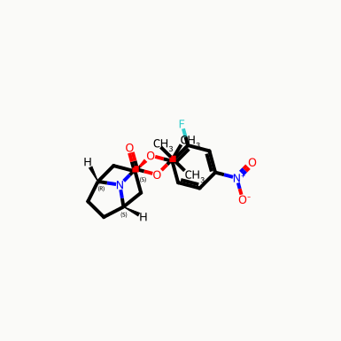 CC(C)(C)OC(=O)N1[C@@H]2CC[C@H]1C[C@H](Oc1ccc([N+](=O)[O-])cc1F)C2